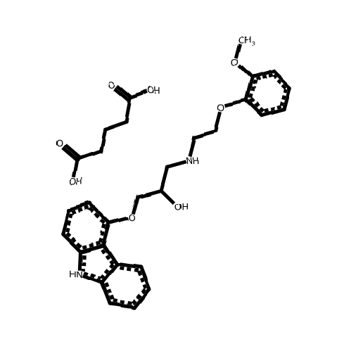 COc1ccccc1OCCNCC(O)COc1cccc2[nH]c3ccccc3c12.O=C(O)CCCC(=O)O